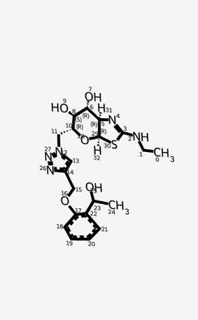 CCNC1=N[C@@H]2[C@@H](O)[C@H](O)[C@@H](Cn3cc(COc4ccccc4C(C)O)nn3)O[C@@H]2S1